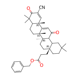 CC1(C)CC[C@]2(CCC(=O)OCc3ccccc3)CC[C@]3(C)C(C(=O)C=C4[C@@]5(C)C=C(C#N)C(=O)C(C)(C)C5CC[C@]43C)C2C1